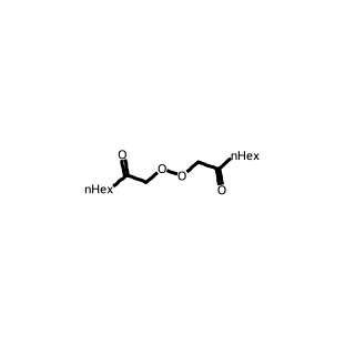 CCCCCCC(=O)COOCC(=O)CCCCCC